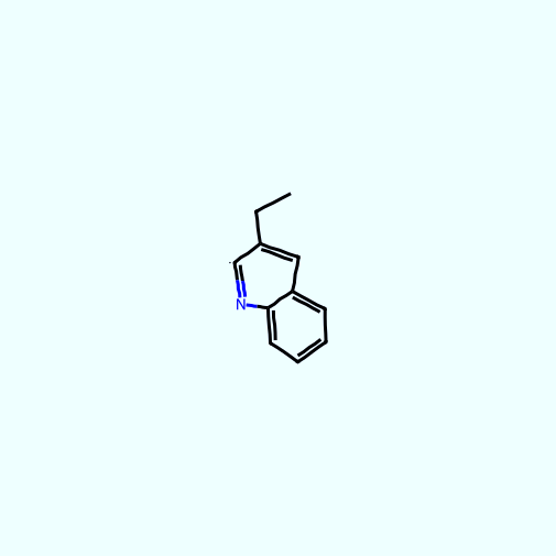 CCc1[c]nc2ccccc2c1